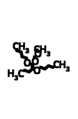 CCCCCOC(CCC)=C(OCCCCC)OCOC